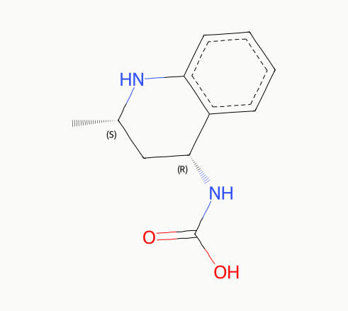 C[C@H]1C[C@@H](NC(=O)O)c2ccccc2N1